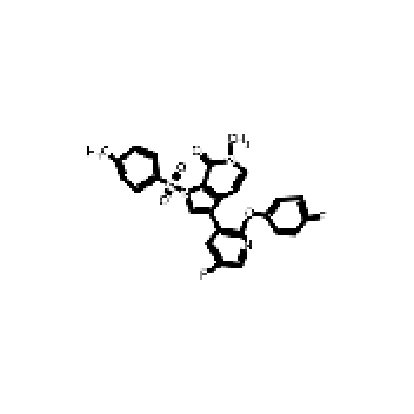 Cc1ccc(S(=O)(=O)n2cc(-c3cc(F)cnc3Oc3ccc(F)cc3)c3ccn(C)c(=O)c32)cc1